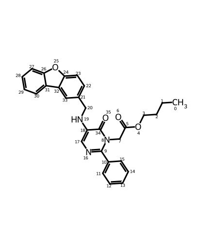 CCCCOC(=O)Cn1c(-c2ccccc2)ncc(NCc2ccc3oc4ccccc4c3c2)c1=O